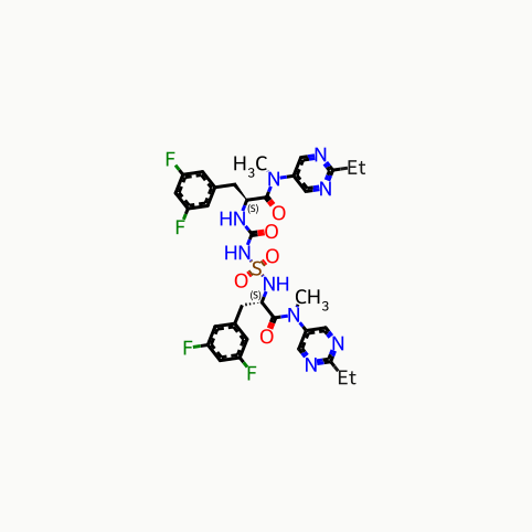 CCc1ncc(N(C)C(=O)[C@H](Cc2cc(F)cc(F)c2)NC(=O)NS(=O)(=O)N[C@@H](Cc2cc(F)cc(F)c2)C(=O)N(C)c2cnc(CC)nc2)cn1